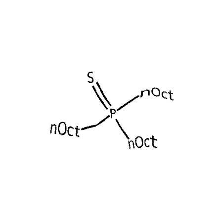 CCCCCCCCP(=S)(CCCCCCCC)CCCCCCCC